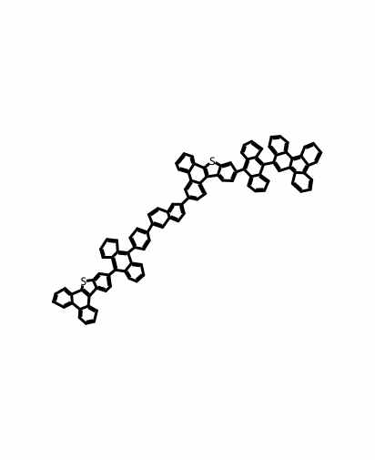 c1ccc2c(-c3ccc4c(c3)sc3c5ccccc5c5ccccc5c43)c3ccccc3c(-c3ccc(-c4ccc5cc(-c6ccc7c(c6)c6ccccc6c6sc8cc(-c9c%10ccccc%10c(-c%10cc%11c%12ccccc%12c%12ccccc%12c%11c%11ccccc%10%11)c%10ccccc9%10)ccc8c76)ccc5c4)cc3)c2c1